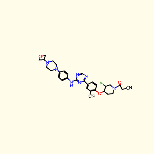 N#CCC(=O)N1CCC(Oc2ccc(-c3ncnc(Nc4ccc(N5CCN(C6COC6)CC5)cc4)n3)cc2C#N)C(F)C1